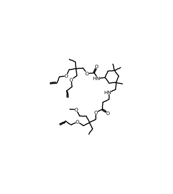 C=CCOCC(CC)(CCOC)COC(=O)CCNCC1(C)CC(NC(=O)OCC(CC)(COCC=C)COCC=C)CC(C)(C)C1